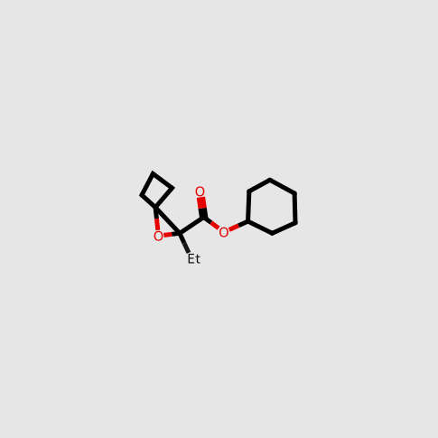 CCC1(C(=O)OC2CCCCC2)OC12CCC2